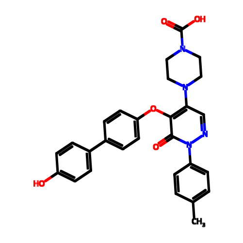 Cc1ccc(-n2ncc(N3CCN(C(=O)O)CC3)c(Oc3ccc(-c4ccc(O)cc4)cc3)c2=O)cc1